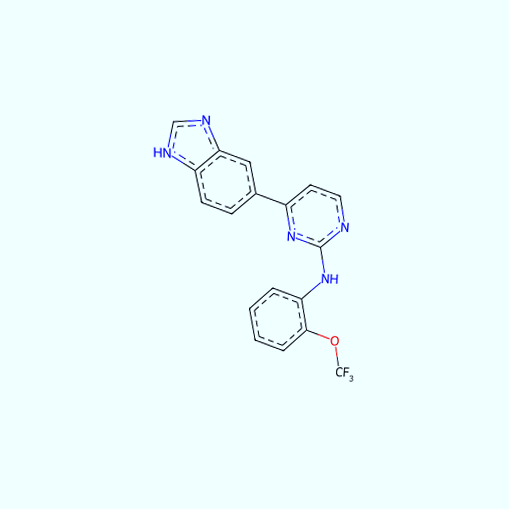 FC(F)(F)Oc1ccccc1Nc1nccc(-c2ccc3[nH]cnc3c2)n1